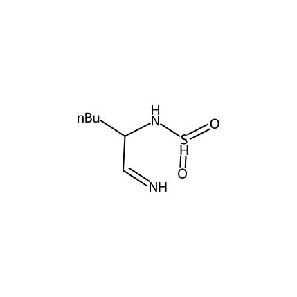 CCCCC(C=N)N[SH](=O)=O